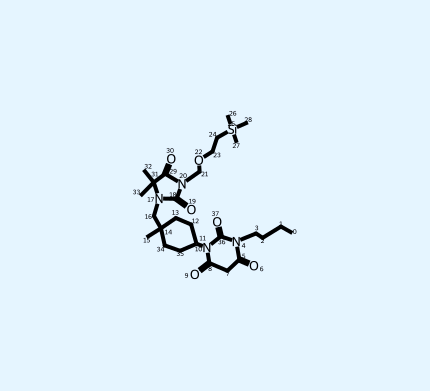 CCCCN1C(=O)CC(=O)N(C2CCC(C)(CN3C(=O)N(COCC[Si](C)(C)C)C(=O)C3(C)C)CC2)C1=O